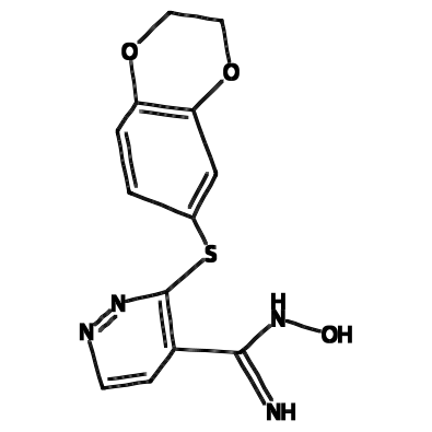 N=C(NO)c1ccnnc1Sc1ccc2c(c1)OCCO2